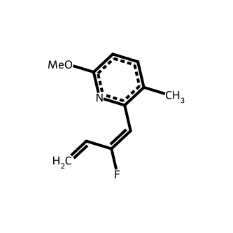 C=C/C(F)=C\c1nc(OC)ccc1C